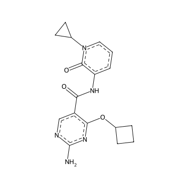 Nc1ncc(C(=O)Nc2cccn(C3CC3)c2=O)c(OC2CCC2)n1